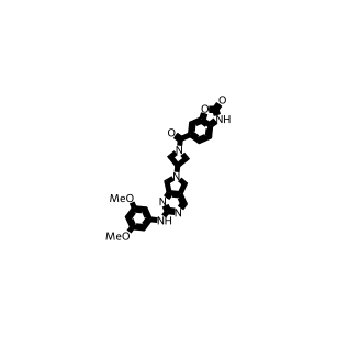 COc1cc(Nc2ncc3c(n2)CN(C2CN(C(=O)c4ccc5[nH]c(=O)oc5c4)C2)C3)cc(OC)c1